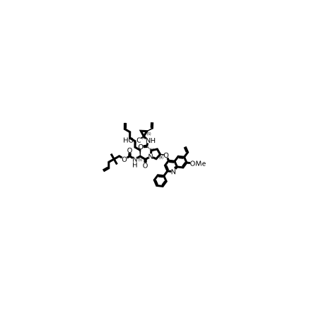 C=CCCCCC[C@H](NC(=O)OCC(C)(C)CC=C)C(=O)N1C[C@H](Oc2cc(-c3ccccc3)nc3cc(OC)c(C=C)cc23)C[C@H]1C(=O)N[C@]1(C(=O)O)C[C@H]1C=C